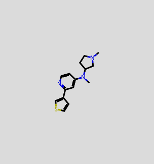 CN1CCC(N(C)c2ccnc(-c3ccsc3)c2)C1